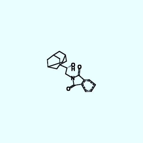 O=C1c2ccccc2C(=O)N1C[C@@H](O)C12CC3CC(CC(C3)C1)C2